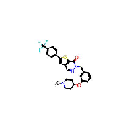 CN1CCC(Oc2cccc(Cn3ncc4cc(-c5ccc(C(F)(F)F)cc5)sc4c3=O)c2)CC1